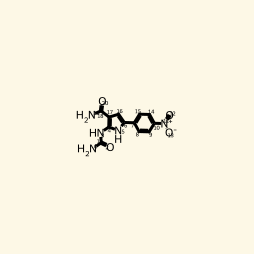 NC(=O)Nc1[nH]c(-c2ccc([N+](=O)[O-])cc2)cc1C(N)=O